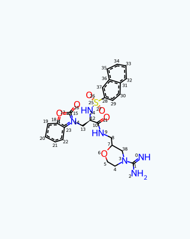 N=C(N)N1CCOC(CNC(=O)[C@@H](Cn2c(=O)oc3ccccc32)NS(=O)(=O)c2ccc3ccccc3c2)C1